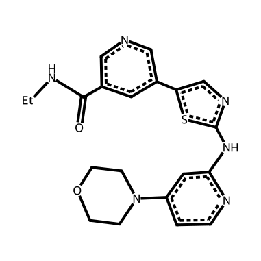 CCNC(=O)c1cncc(-c2cnc(Nc3cc(N4CCOCC4)ccn3)s2)c1